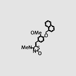 CNC1=NC(=O)S/C1=C\c1ccc(OCc2cccc3ccccc23)c(OC)c1